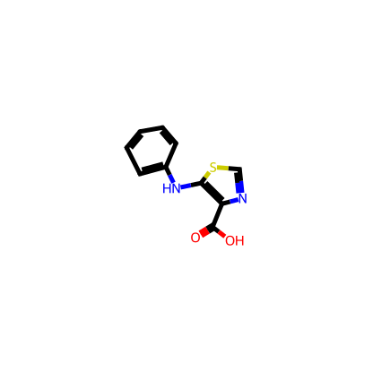 O=C(O)c1ncsc1Nc1ccccc1